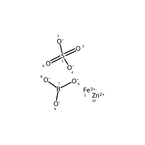 O=S(=O)([O-])[O-].[Fe+3].[O-]B([O-])[O-].[Zn+2]